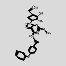 CCCSc1nc(NC2CC2c2ccc(Oc3ccccc3)cc2)c2nnn([C@H]3C[C@@H](CO)[C@H](O)[C@@H]3O)c2n1